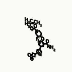 CC(C)(C)OC(=O)N1CC[C@@H](Oc2ncc(-c3cnn(C4CS(=O)(=O)C4)c3)cc2C(N)=O)[C@@H](F)C1